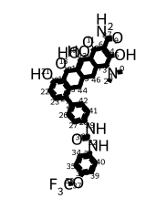 CN(C)C1C(O)=C(C(N)=O)C(=O)C2(O)C(O)=C3C(=O)c4c(O)ccc(-c5ccc(NC(=O)Nc6ccc(OC(F)(F)F)cc6)cc5)c4CC3CC12